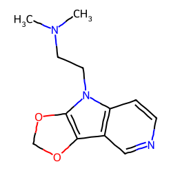 CN(C)CCn1c2c(c3cnccc31)OCO2